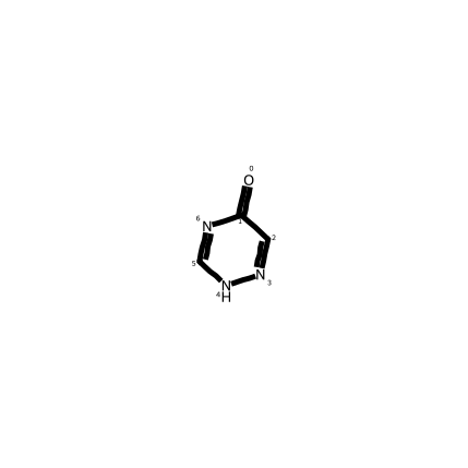 O=c1cn[nH][c]n1